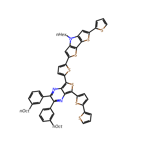 CCCCCCCCc1cccc(-c2nc3c(-c4ccc(-c5cccs5)s4)sc(-c4ccc(-c5cc6c(s5)c5sc(-c7cccs7)cc5n6CCCCCC)s4)c3nc2-c2cccc(CCCCCCCC)c2)c1